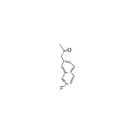 CC(=O)Cc1ccc2ccc(F)cc2c1